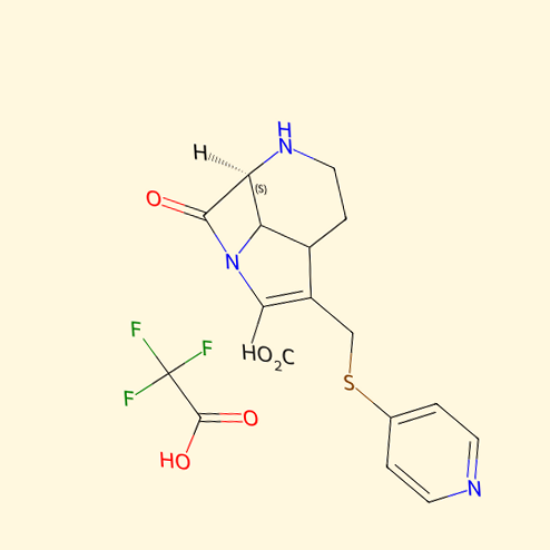 O=C(O)C(F)(F)F.O=C(O)C1=C(CSc2ccncc2)C2CCN[C@@H]3C(=O)N1C23